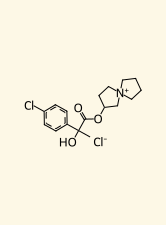 CC(O)(C(=O)OC1CC[N+]2(CCCC2)C1)c1ccc(Cl)cc1.[Cl-]